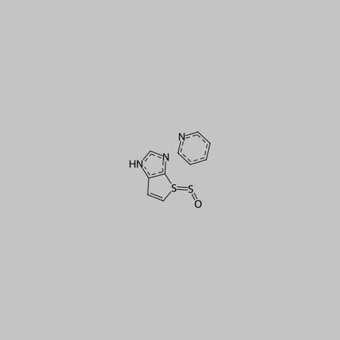 O=S=S1C=Cc2[nH]cnc21.c1ccncc1